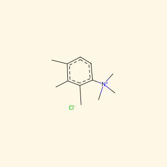 Cc1ccc([N+](C)(C)C)c(C)c1C.[Cl-]